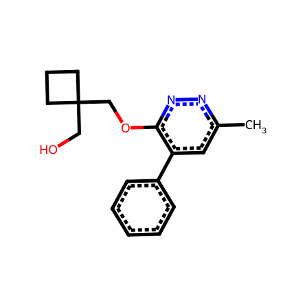 Cc1cc(-c2ccccc2)c(OCC2(CO)CCC2)nn1